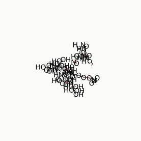 CCc1ccc(NC(=O)[C@H](CCCNC(N)=O)NC(=O)[C@@H](NC(=O)CCC(=O)NCCCC[C@H](NC(=O)[C@H](CCCCN(C[C@H](O)[C@@H](O)[C@H](O)[C@H](O)CO)C[C@H](O)[C@@H](O)[C@H](O)[C@H](O)CO)NC(=O)CCOCCOCCOCCN2C(=O)C=CC2=O)C(=O)N[C@@H](CCCCN(C[C@H](O)[C@@H](O)[C@H](O)[C@H](O)CO)C[C@H](O)[C@@H](O)[C@H](O)[C@H](O)CO)C(=O)NCCOC)C(C)C)cc1